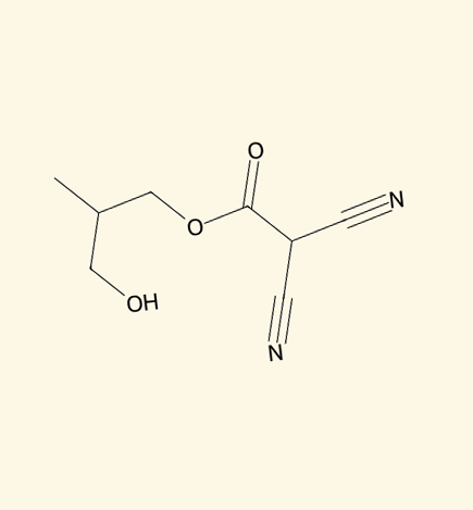 CC(CO)COC(=O)C(C#N)C#N